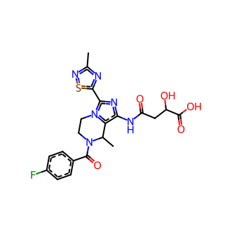 Cc1nsc(-c2nc(NC(=O)CC(O)C(=O)O)c3n2CCN(C(=O)c2ccc(F)cc2)C3C)n1